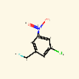 O=[N+]([O-])c1cc(Cl)cc(CF)c1